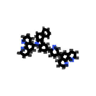 c1ccc2c(c1)ccc1c2c2cc(-c3ccc(-c4cc5cccnc5c5ncccc45)cn3)ccc2n1-c1cc2cccnc2c2ncccc12